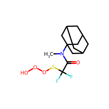 CN(C(=O)C(F)(F)SOOO)C12CC3CC(CC(C3)C1)C2